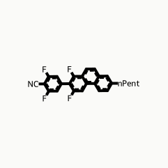 CCCCCc1ccc2c(ccc3c(F)c(-c4cc(F)c(C#N)c(F)c4)c(F)cc32)c1